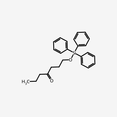 CCCC(=O)CCCO[Si](c1ccccc1)(c1ccccc1)c1ccccc1